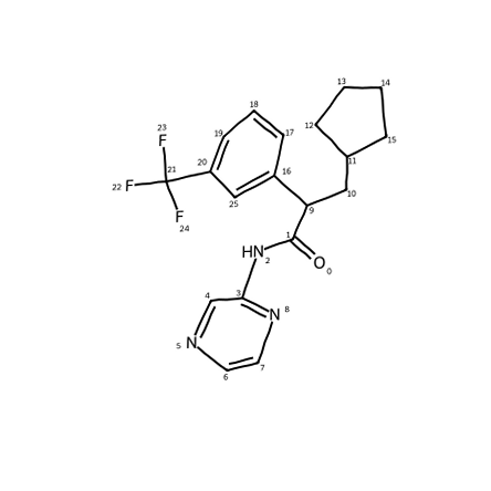 O=C(Nc1cnccn1)C(CC1CCCC1)c1cccc(C(F)(F)F)c1